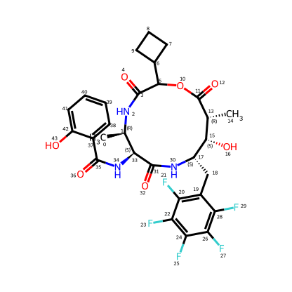 C[C@H]1NC(=O)C(C2CCC2)OC(=O)[C@H](C)[C@H](O)[C@H](Cc2c(F)c(F)c(F)c(F)c2F)NC(=O)[C@H]1NC(=O)c1ccccc1O